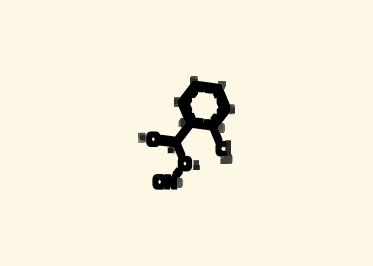 O=NOC(=O)c1ccccc1Cl